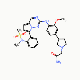 COc1cc(C2CCN(CC(N)=O)C2)ccc1Nc1ncc2ccc(-c3ccccc3N(C)S(C)(=O)=O)n2n1